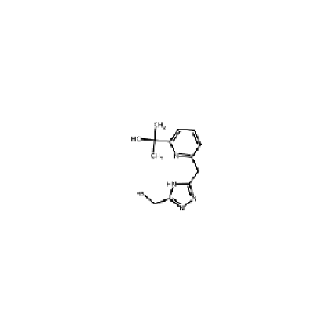 CC(C)(O)c1cccc(Cc2nnc(CS)[nH]2)n1